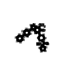 Nc1c(Br)c(C2CCN(C(=O)C3(O)CCCC3)CC2)nc2c(-c3ccc(-c4ccccc4)nc3)cnn12